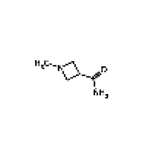 CN1CC(C(N)=O)C1